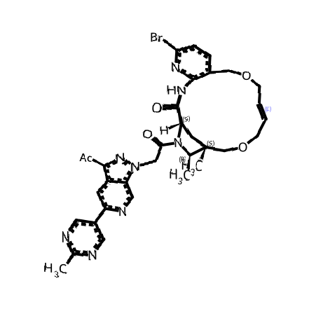 CC(=O)c1nn(CC(=O)N2[C@H]3C[C@](C)(COC/C=C/COCc4ccc(Br)nc4NC3=O)[C@H]2C)c2cnc(-c3cnc(C)nc3)cc12